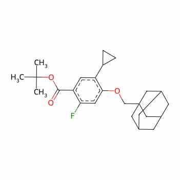 CC(C)(C)OC(=O)c1cc(C2CC2)c(OCC23CC4CC(CC(C4)C2)C3)cc1F